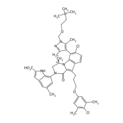 Cc1cc(N2C[C@@H](C)n3c(c(CCCOc4cc(C)c(Cl)c(C)c4)c4ccc(Cl)c(-c5c(C)nn(COCC[Si](C)(C)C)c5C)c43)C2=O)c2[nH]c(C(=O)O)cc2c1